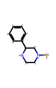 BrN1CC[N]C(c2ccccc2)C1